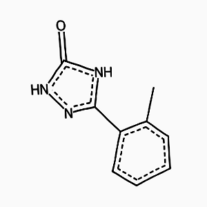 Cc1ccccc1-c1n[nH]c(=O)[nH]1